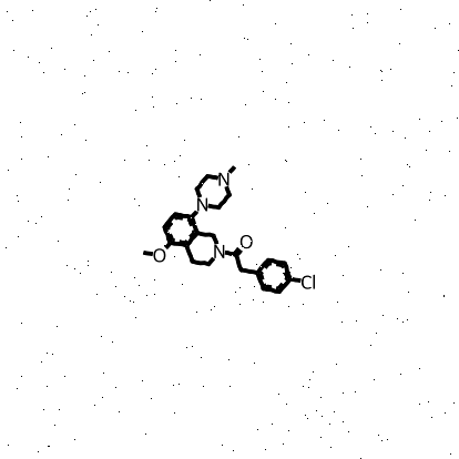 COc1ccc(N2CCN(C)CC2)c2c1CCN(C(=O)Cc1ccc(Cl)cc1)C2